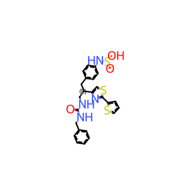 O=C(NCc1ccccc1)NC[C@@H](Cc1ccc(NS(=O)O)cc1)c1csc(-c2cccs2)n1